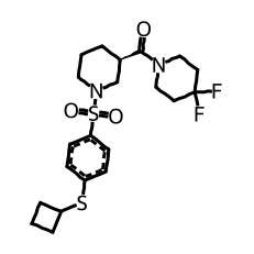 O=C([C@@H]1CCCN(S(=O)(=O)c2ccc(SC3CCC3)cc2)C1)N1CCC(F)(F)CC1